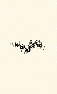 CCN(C)CCN(C)Cc1ccc(NC(=O)C2=CC=C(F)C(C)(C#Cc3cnc4c(Nc5cnn(C)c5)cccn34)C2)cc1C(F)(F)F